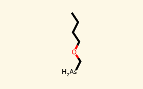 CCCCOC[AsH2]